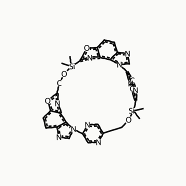 C[Si]1(C)OCc2cnc(cn2)-n2cnc3ccc4oc(nc4c32)CO[Si](C)(C)c2nc3c(ccc4ncn(c43)-c3cnc1cn3)o2